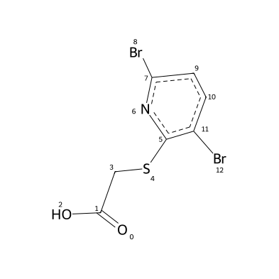 O=C(O)CSc1nc(Br)ccc1Br